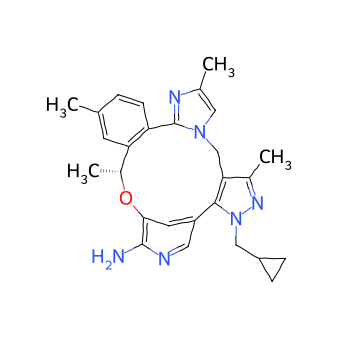 Cc1ccc2c(c1)[C@@H](C)Oc1cc(cnc1N)-c1c(c(C)nn1CC1CC1)Cn1cc(C)nc1-2